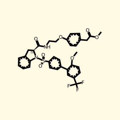 COC(=O)Cc1ccc(OCCNC(=O)[C@@H]2Cc3ccccc3N2S(=O)(=O)c2ccc(-c3cc(C(F)(F)F)ccc3OC)cc2)cc1